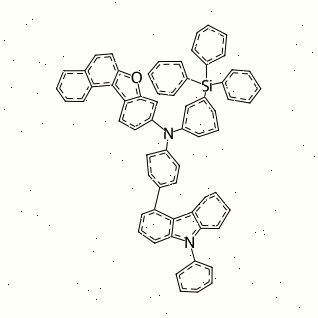 c1ccc(-n2c3ccccc3c3c(-c4ccc(N(c5cccc([Si](c6ccccc6)(c6ccccc6)c6ccccc6)c5)c5ccc6c(c5)oc5ccc7ccccc7c56)cc4)cccc32)cc1